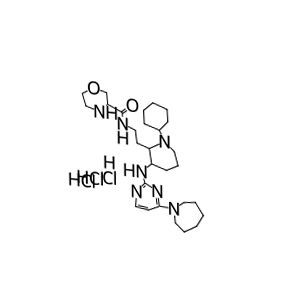 Cl.Cl.Cl.O=C(NCCC1C(Nc2nccc(N3CCCCCC3)n2)CCCN1C1CCCCC1)C1COCCN1